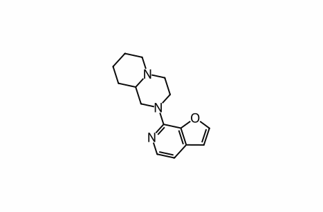 c1cc2ccoc2c(N2CCN3CCCCC3C2)n1